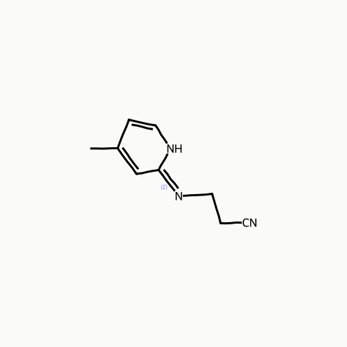 Cc1cc[nH]/c(=N\CCC#N)c1